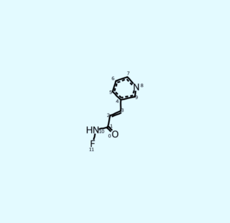 O=C(C=Cc1cccnc1)NF